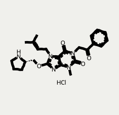 CC(C)=CCn1c(OC[C@@H]2CCCN2)nc2c1c(=O)n(CC(=O)c1ccccc1)c(=O)n2C.Cl